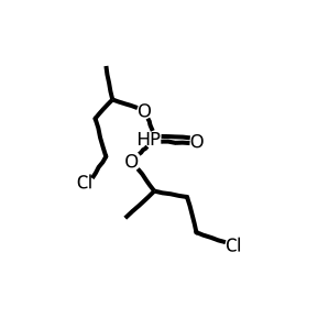 CC(CCCl)O[PH](=O)OC(C)CCCl